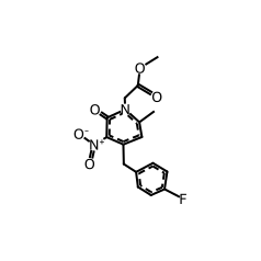 COC(=O)Cn1c(C)cc(Cc2ccc(F)cc2)c([N+](=O)[O-])c1=O